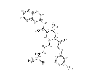 Cc1cccc(/C=C/C(=O)N2C[C@@H](C)N(C(=O)Cc3ccc4ccccc4c3)C[C@@H]2CCCNC(=N)N)c1